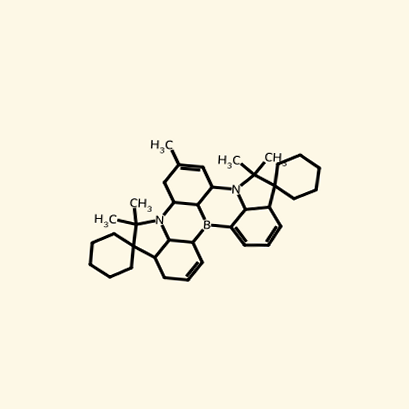 CC1=CC2C3B(C4=CC=CC5C4N2C(C)(C)C52CCCCC2)C2C=CCC4C2N(C3C1)C(C)(C)C41CCCCC1